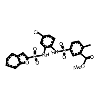 COC(=O)c1cc(S(=O)(=O)Nc2ccc(Cl)cc2NS(=O)(=O)c2cc3ccccc3o2)ccc1C